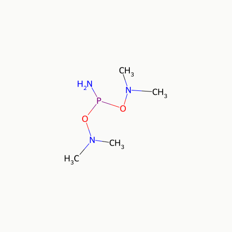 CN(C)OP(N)ON(C)C